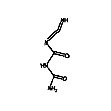 N=C=NC(=O)NC(N)=O